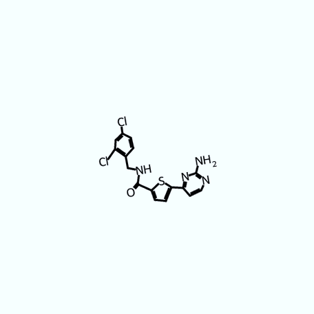 Nc1nccc(-c2ccc(C(=O)NCc3ccc(Cl)cc3Cl)s2)n1